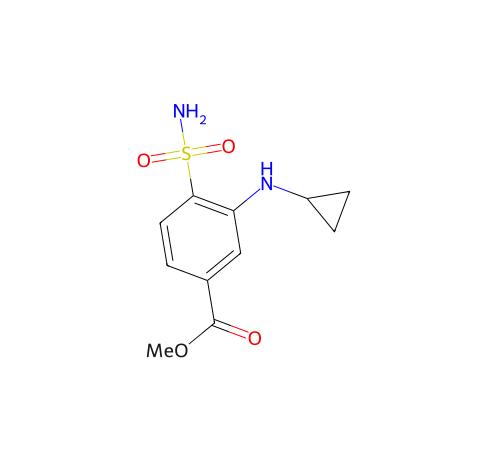 COC(=O)c1ccc(S(N)(=O)=O)c(NC2CC2)c1